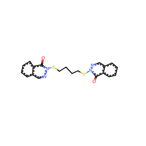 O=c1c2ccccc2cnn1SCCCCSn1ncc2ccccc2c1=O